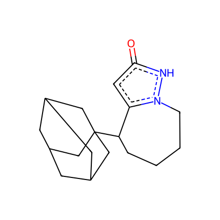 O=c1cc2n([nH]1)CCCCC2C12CC3CC(CC(C3)C1)C2